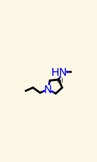 CCCN1CC[C@H](NC)C1